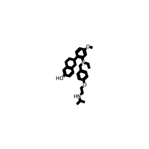 CCN(Cc1ccc(OCCNC(C)C)cc1)c1cc(OC)ccc1C1CCc2cc(O)ccc2C1